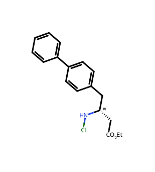 CCOC(=O)C[C@@H](Cc1ccc(-c2ccccc2)cc1)NCl